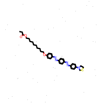 CCC(=O)OCCCCCCCCCCOc1ccc(N=Nc2ccc(N=Nc3ccc(N4CCSC4)cc3)cc2)cc1